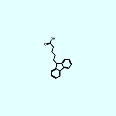 O=C(O)CCCCC1c2ccccc2-c2ccccc21